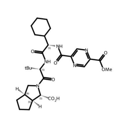 COC(=O)c1cnc(C(=O)N[C@H](C(=O)N[C@H](C(=O)N2C[C@@H]3CCC[C@@H]3[C@H]2C(=O)O)C(C)(C)C)C2CCCCC2)cn1